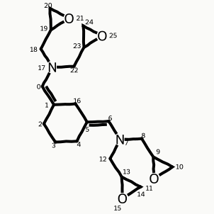 C(=C1CCCC(=CN(CC2CO2)CC2CO2)C1)N(CC1CO1)CC1CO1